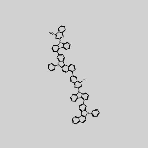 N#Cc1cc(-n2c3ccccc3c3c(-c4ccc5c6c7ccccc7ccc6n(-c6ccccc6)c5c4)cccc32)nc2ccc(-c3cccc4c3ccc3c4c4ccc(-c5cccc6c5c5ccccc5n6-c5nc(C#N)c6ccccc6n5)cc4n3-c3ccccc3)cc12